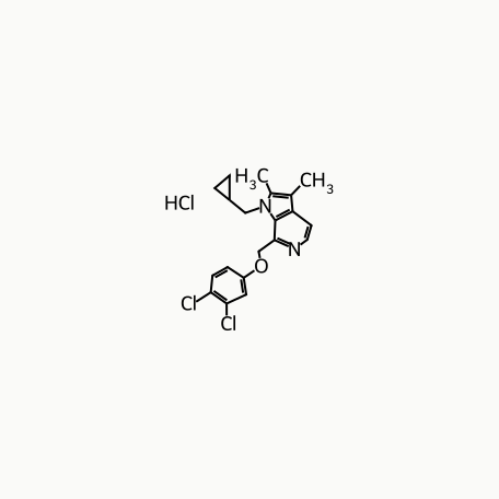 Cc1c(C)n(CC2CC2)c2c(COc3ccc(Cl)c(Cl)c3)nccc12.Cl